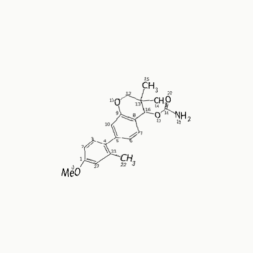 COc1ccc(-c2ccc3c(c2)OCC(C)(C)C3OC(N)=O)c(C)c1